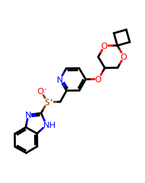 [O-][S+](Cc1cc(OC2COC3(CCC3)OC2)ccn1)c1nc2ccccc2[nH]1